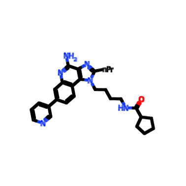 CCCc1nc2c(N)nc3cc(-c4cccnc4)ccc3c2n1CCCCNC(=O)C1CCCC1